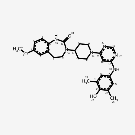 COc1ccc2c(c1)CCN(C1CCN(c3cc(Nc4cc(C)c(O)c(C)c4)ncn3)CC1)C(=O)N2